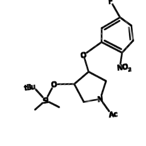 CC(=O)N1CC(Oc2cc(F)ccc2[N+](=O)[O-])C(O[Si](C)(C)C(C)(C)C)C1